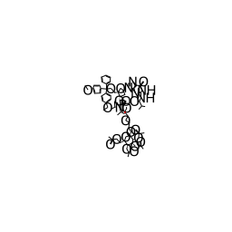 COc1ccc(C(OC[C@H]2O[C@@H](n3cnc4c(=O)[nH]c(NC(=O)C(C)C)nc43)C[C@@H]2OP(=O)(OCCOCCO[C@@H]2O[C@H](COC(C)=O)[C@H](OC(C)=O)[C@H](OC(C)=O)[C@H]2OC(C)=O)N(C(C)C)C(C)C)(c2ccccc2)c2ccc(OC)cc2)cc1